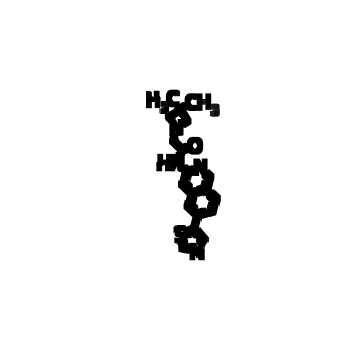 CC1(C)CN(CC(=O)Nc2cc3cc(-c4cncs4)ccc3cn2)C1